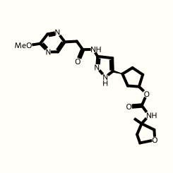 COc1cnc(CC(=O)Nc2cc([C@H]3CCC(OC(=O)NC4(C)CCOC4)C3)[nH]n2)cn1